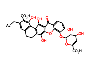 CC(=O)Cc1cc2c(c(O)c1C(=O)O)-c1c(c(O)c3oc4c(O[C@@H]5OC(C(=O)O)=C[C@H](O)[C@H]5O)cccc4c(=O)c3c1O)CC2